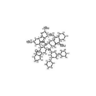 CC(C)(C)c1ccc2c(c1)c1cc(C(C)(C)C)cc3c1n2B1c2cc4c(C(C)(C)C)c5ccccc5c(C(C)(C)C)c4cc2N(c2cc(-c4ccccc4)cc(-c4ccccc4)c2)c2cc4c(oc5ccccc54)c-3c21